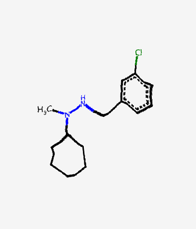 CN(NCc1cccc(Cl)c1)C1CCCCC1